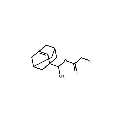 CC(OC(=O)CCl)C12C=C3CC(CC(C3)C1)C2